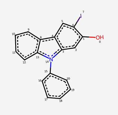 Oc1cc2c(cc1I)c1ccccc1n2-c1ccccc1